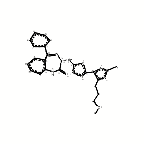 COCCCc1sc(C)nc1-c1nnc(N[C@H]2N=C(c3ccccc3)c3ccccc3NC2=O)o1